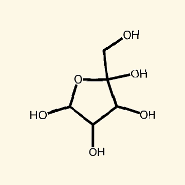 OCC1(O)OC(O)C(O)C1O